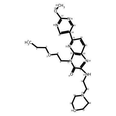 CCCOCCn1c(=O)c(NCCN2CCOCC2)nc2ccc(-c3cnc(OC)nc3)nc21